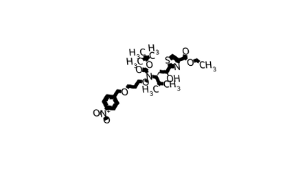 CCOC(=O)c1csc([C@H](O)C[C@H](C(C)C)N(OCCCOCc2ccc([N+](=O)[O-])cc2)C(=O)OC(C)(C)C)n1